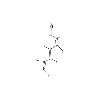 C\C=C(C)/C(C)=C(C)/C(C)=N\CCl